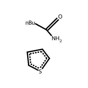 CCCCC(N)=O.c1ccsc1